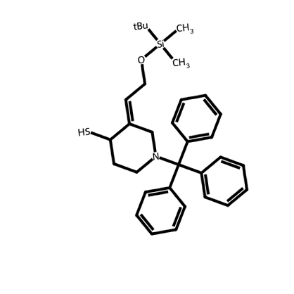 CC(C)(C)[Si](C)(C)OCC=C1CN(C(c2ccccc2)(c2ccccc2)c2ccccc2)CCC1S